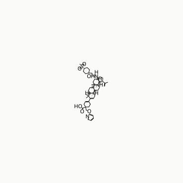 C=C(C)C1CC[C@]2(NCC[C@]3(O)CC[C@@H](S(C)(=O)=O)CC3)CC[C@]3(C)[C@H](CC[C@@H]4[C@@]5(C)CC=C(C6=CCC(COc7ccccn7)(C(=O)O)CC6)C(C)(C)[C@@H]5CC[C@]43C)[C@@H]12